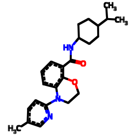 Cc1ccc(N2CCOc3c(C(=O)NC4CCC(C(C)C)CC4)cccc32)nc1